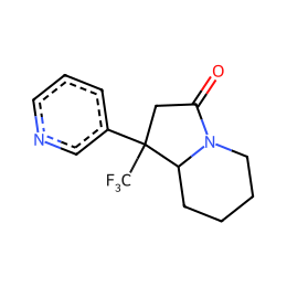 O=C1CC(c2cccnc2)(C(F)(F)F)C2CCCCN12